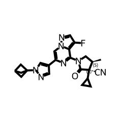 C[C@@H]1CN(c2nc(-c3cnn(C45CC(C4)C5)c3)cn3ncc(F)c23)C(=O)[C@]1(C#N)C1CC1